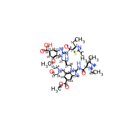 CCc1nc(C)sc1C(=O)Nc1nc2cc(C(=O)O)cc(OC)c2n1CC=CCn1c(NC(=O)c2cc(C)nn2CC)nc2cc(C(=O)OC)cc(CN3CCOCC3)c21